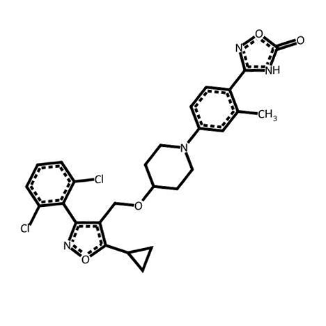 Cc1cc(N2CCC(OCc3c(-c4c(Cl)cccc4Cl)noc3C3CC3)CC2)ccc1-c1noc(=O)[nH]1